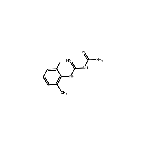 Cc1cccc(I)c1NC(=N)NC(=N)N